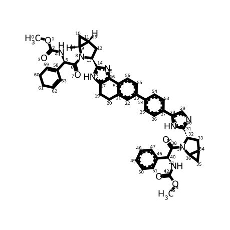 COC(=O)N[C@@H](C(=O)N1[C@@H]2C[C@@H]2C[C@H]1c1nc2c([nH]1)CCc1cc(-c3ccc(-c4cnc([C@@H]5CC6CC6N5C(=O)[C@H](NC(=O)OC)c5ccccc5)[nH]4)cc3)ccc1-2)C1=CCCC=C1